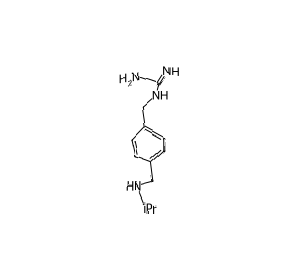 CC(C)NCc1ccc(CNC(=N)N)cc1